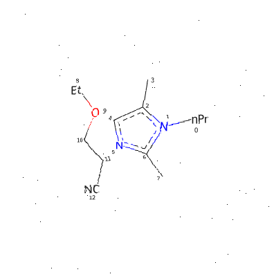 CCCn1c(C)cnc1C.CCOCCC#N